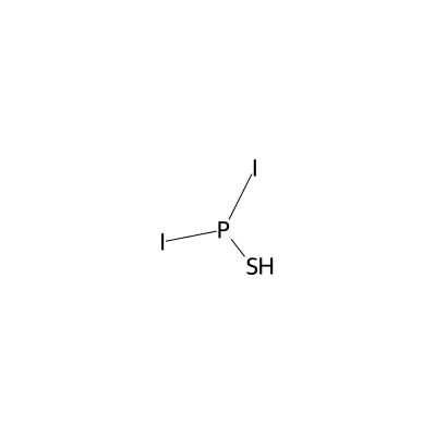 SP(I)I